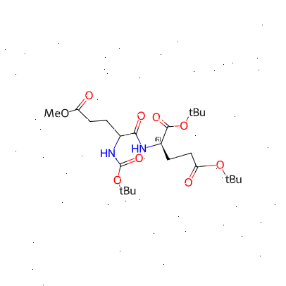 COC(=O)CCC(NC(=O)OC(C)(C)C)C(=O)N[C@H](CCC(=O)OC(C)(C)C)C(=O)OC(C)(C)C